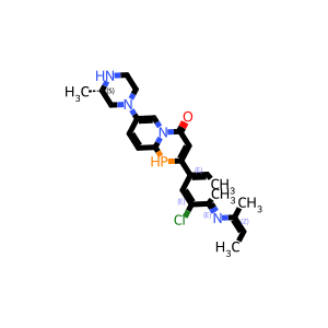 C\C=C(C)/N=C(C)/C(Cl)=C\C(=C/C)C1=CC(=O)N2C=C(N3CCN[C@@H](C)C3)C=CC2P1